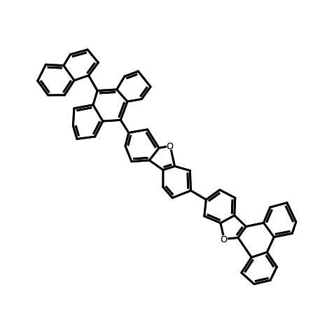 c1ccc2c(-c3c4ccccc4c(-c4ccc5c(c4)oc4cc(-c6ccc7c(c6)oc6c8ccccc8c8ccccc8c76)ccc45)c4ccccc34)cccc2c1